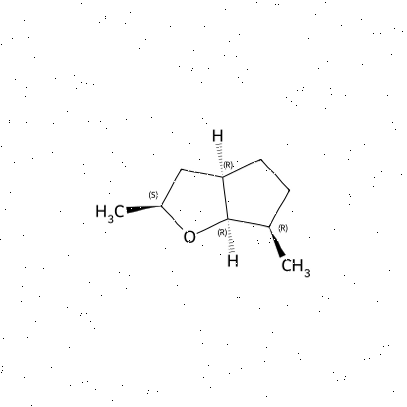 C[C@@H]1CC[C@@H]2C[C@H](C)O[C@@H]21